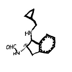 O=CN[C@H]1Cc2ccccc2C1NCC1CC1